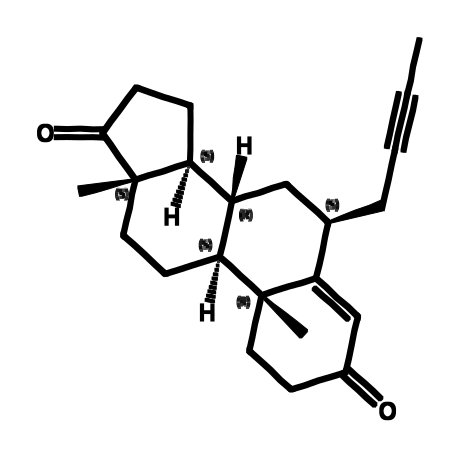 CC#CC[C@@H]1C[C@@H]2[C@H](CC[C@]3(C)C(=O)CC[C@@H]23)[C@@]2(C)CCC(=O)C=C12